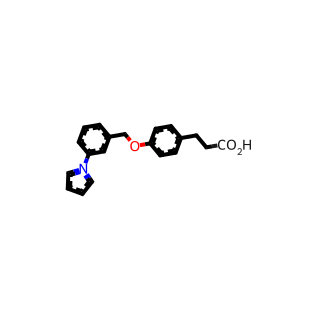 O=C(O)CCc1ccc(OCc2cccc(-n3cccc3)c2)cc1